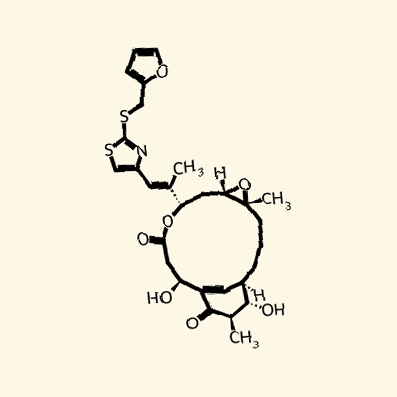 C/C(=C\c1csc(SCc2ccco2)n1)[C@@H]1C[C@@H]2O[C@]2(C)CCC[C@@H]2C=C(C(=O)[C@H](C)[C@H]2O)[C@@H](O)CC(=O)O1